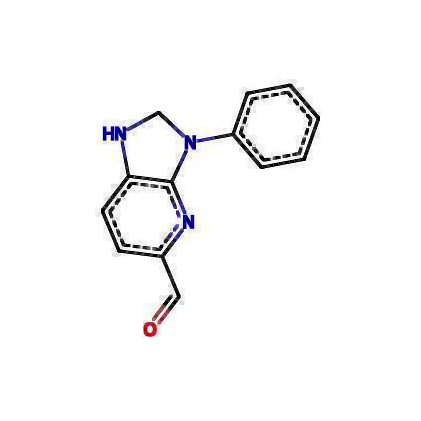 O=Cc1ccc2c(n1)N(c1ccccc1)CN2